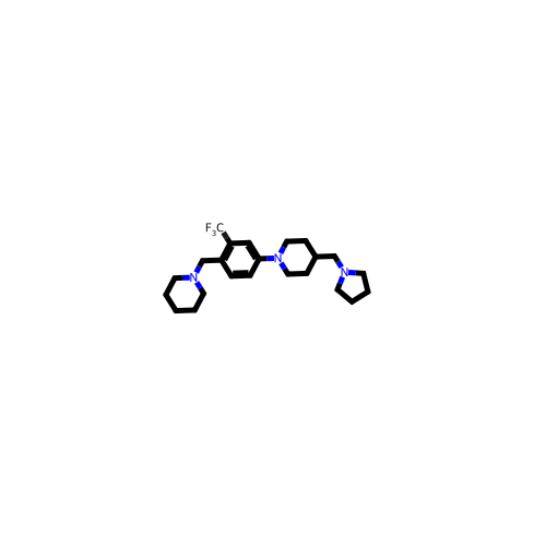 FC(F)(F)c1cc(N2CCC(CN3CCCC3)CC2)ccc1CN1CCCCC1